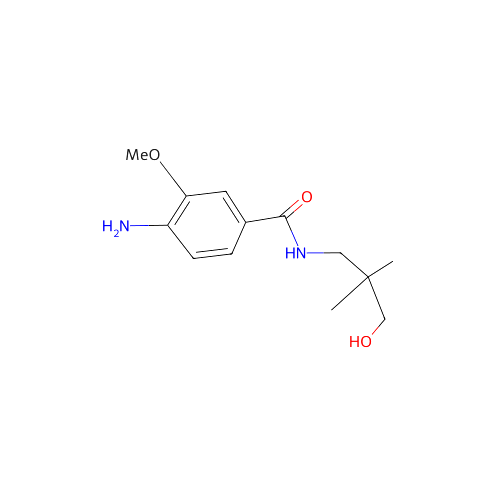 COc1cc(C(=O)NCC(C)(C)CO)ccc1N